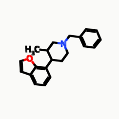 CC1CN(Cc2ccccc2)CCC1c1cccc2ccoc12